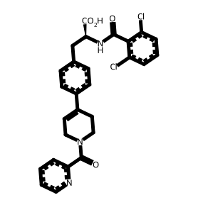 O=C(N[C@@H](Cc1ccc(C2=CCN(C(=O)c3ccccn3)CC2)cc1)C(=O)O)c1c(Cl)cccc1Cl